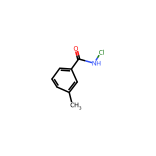 Cc1cccc(C(=O)NCl)c1